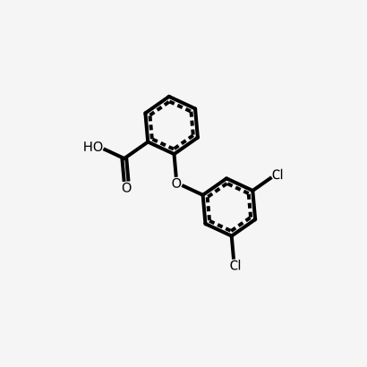 O=C(O)c1ccccc1Oc1cc(Cl)cc(Cl)c1